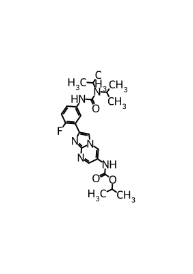 CC(C)OC(=O)Nc1cnc2nc(-c3cc(NC(=O)N(C(C)C)C(C)C)ccc3F)cn2c1